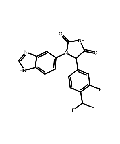 O=C1NC(=O)N(c2ccc3[nH]cnc3c2)C1c1ccc(C(F)F)c(F)c1